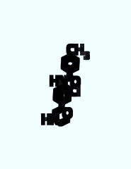 Cc1ccc(C(=O)Nc2ccc(C3CNCCO3)cc2)cc1.Cl